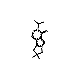 CC(C)n1ncc2c3n(cc2c1=O)CC(C)(C)C3